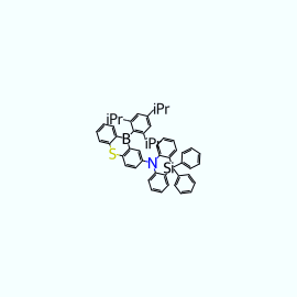 CC(C)c1cc(C(C)C)c(B2c3ccccc3Sc3ccc(N4c5ccccc5[Si](c5ccccc5)(c5ccccc5)c5ccccc54)cc32)c(C(C)C)c1